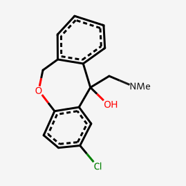 CNCC1(O)c2ccccc2COc2ccc(Cl)cc21